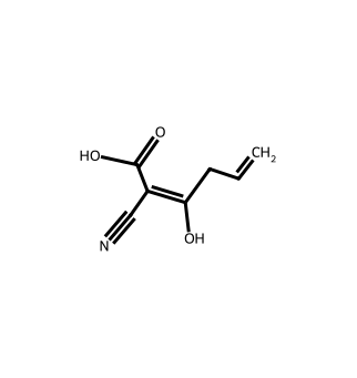 C=CCC(O)=C(C#N)C(=O)O